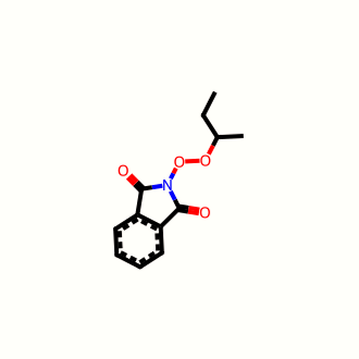 CCC(C)OON1C(=O)c2ccccc2C1=O